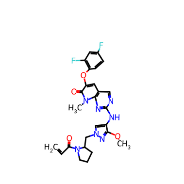 C=CC(=O)N1CCCC1Cn1cc(Nc2ncc3cc(Oc4ccc(F)cc4F)c(=O)n(C)c3n2)c(OC)n1